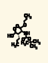 C=CCOC(=O)C(NC(=O)OC(C)(C)C)[C@H](CC=C)C(=O)O